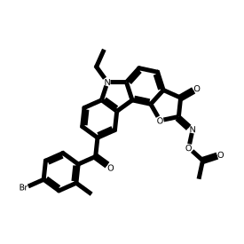 CCn1c2ccc(C(=O)c3ccc(Br)cc3C)cc2c2c3c(ccc21)C(=O)/C(=N/OC(C)=O)O3